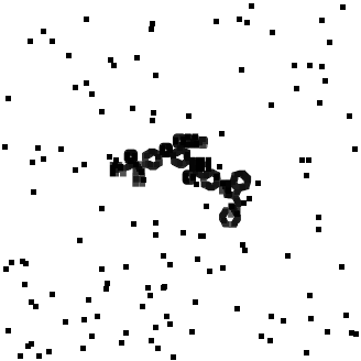 COc1cc(NC(=O)c2ccc(-n3cc(CN4CCCCC4)c4ccccc43)cc2)ccc1Oc1ccc(NC(=O)C(C)C)cc1